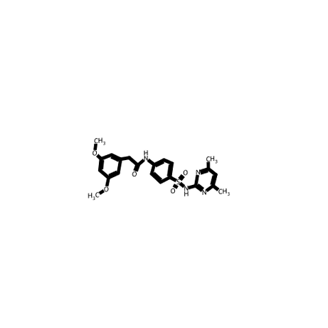 COc1cc(CC(=O)Nc2ccc(S(=O)(=O)Nc3nc(C)cc(C)n3)cc2)cc(OC)c1